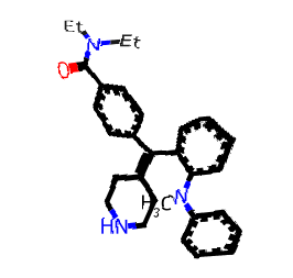 CCN(CC)C(=O)c1ccc(C(=C2CCNCC2)c2ccccc2N(C)c2ccccc2)cc1